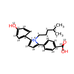 CC(C)CCCn1c(-c2ccc(O)cc2)ccc1-c1ccc(C(=O)O)cc1